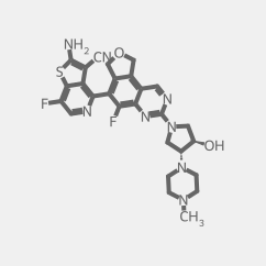 CN1CCN([C@@H]2CN(c3ncc4c5c(c(-c6ncc(F)c7sc(N)c(C#N)c67)c(F)c4n3)COC5)C[C@H]2O)CC1